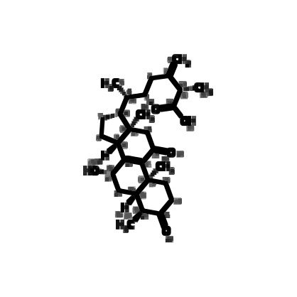 C=C(CC[C@@H](C)[C@H]1CC[C@H]2C3=C(C(=O)C[C@]12C)[C@@]1(C)CCC(=O)[C@@H](C)[C@@H]1C[C@@H]3O)[C@H](C)C(=O)O